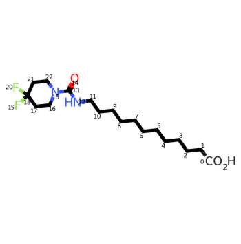 O=C(O)CCCCCCCCCCCNC(=O)N1CCC(F)(F)CC1